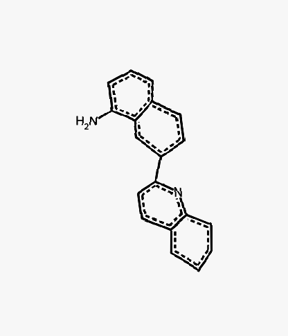 Nc1cccc2ccc(-c3ccc4ccccc4n3)cc12